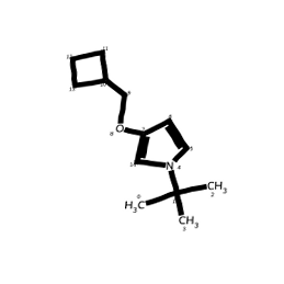 CC(C)(C)n1ccc(OCC2CCC2)c1